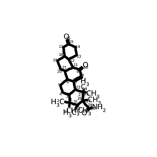 CC1(C)C2CCC3C(=CC(=O)C4C5CCC(=O)CC5CCC34)C2C(C)(C)C(C)(C(N)=O)C1(C)C